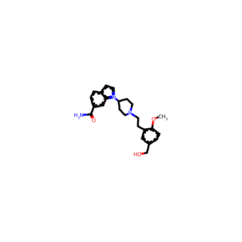 COc1ccc(CO)cc1CCN1CCC(n2ccc3ccc(C(N)=O)cc32)CC1